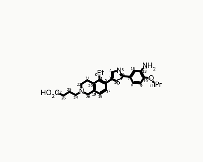 CCc1c(-c2cnc(-c3ccc(OC(C)C)c(N)c3)s2)ccc2c1CCN(CCCC(=O)O)C2